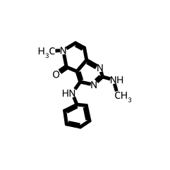 CNc1nc(Nc2ccccc2)c2c(=O)n(C)ccc2n1